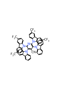 N#Cc1c(-n2c3ccccc3c3ccccc32)c(-n2c3ccc(C(F)(F)F)cc3c3cc(C(F)(F)F)ccc32)nc(-n2c3ccc(C(F)(F)F)cc3c3cc(C(F)(F)F)ccc32)c1-n1c2ccccc2c2ccccc21